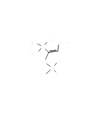 CCCCCCC=[C](O[Si](CC)(CC)CC)[Sn]([CH2]CCC)([CH2]CCC)[CH2]CCC